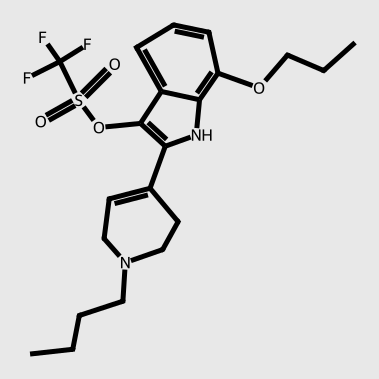 CCCCN1CC=C(c2[nH]c3c(OCCC)cccc3c2OS(=O)(=O)C(F)(F)F)CC1